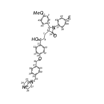 COc1ccc(C2C(CCC(O)c3ccc(OCc4ccc(C[N+]56CCN(CC5)CC6)cc4)cc3)C(=O)N2c2ccc(F)cc2)cc1